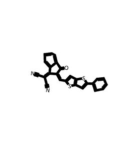 N#CC(C#N)=C1/C(=C/c2cc3sc(-c4ccccc4)cc3s2)C(=O)c2ccccc21